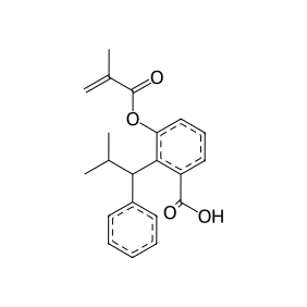 C=C(C)C(=O)Oc1cccc(C(=O)O)c1C(c1ccccc1)C(C)C